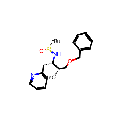 CO[C@@H](COCc1ccccc1)[C@H](Cc1ccccn1)N[S@+]([O-])C(C)(C)C